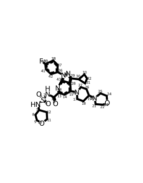 O=C(NS(=O)(=O)NC1CCOCC1)c1cc(N2CCC(N3CCOCC3)CC2)c2c(C3CCC3)nn(-c3ccc(F)cc3)c2n1